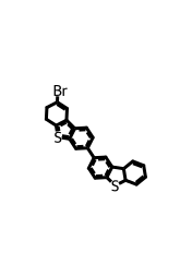 BrC1=Cc2c(sc3cc(-c4ccc5c(c4)C4C=CC=CC4S5)ccc23)CC1